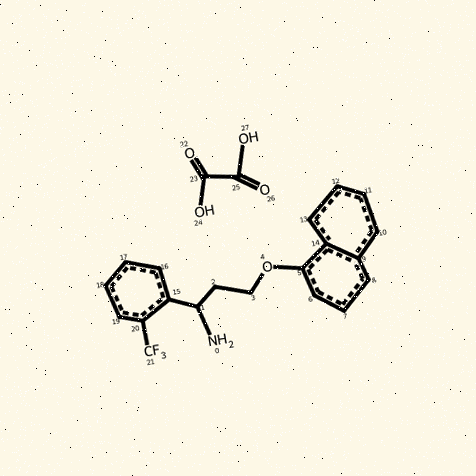 NC(CCOc1cccc2ccccc12)c1ccccc1C(F)(F)F.O=C(O)C(=O)O